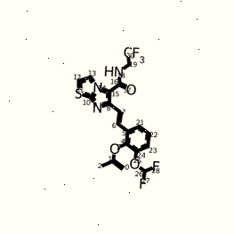 C=C(C)Oc1c(/C=C/c2nc3sccn3c2C(=O)NCC(F)(F)F)cccc1OC(F)F